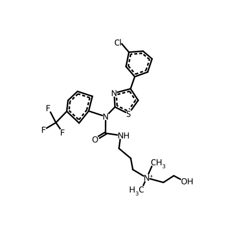 C[N+](C)(CCO)CCCNC(=O)N(c1cccc(C(F)(F)F)c1)c1nc(-c2cccc(Cl)c2)cs1